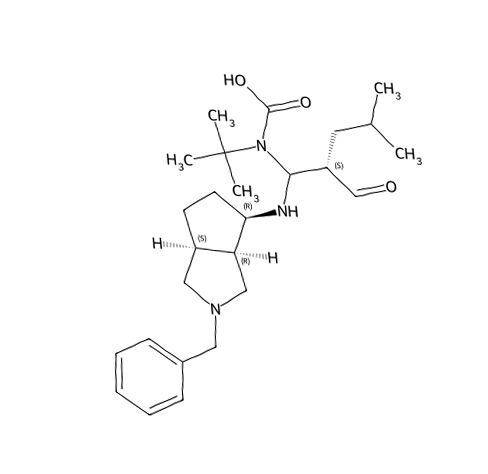 CC(C)C[C@H](C=O)C(N[C@@H]1CC[C@@H]2CN(Cc3ccccc3)C[C@@H]21)N(C(=O)O)C(C)(C)C